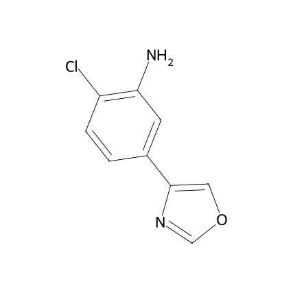 Nc1cc(-c2cocn2)ccc1Cl